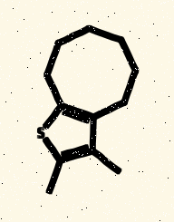 Cc1sc2c(c1C)CCCCCC2